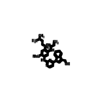 C=CC(=O)Nc1cc(Nc2nccc(-n3cc(CO)c4ccccc43)n2)c(OC)cc1N(C)CCN(C)C